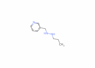 CCCNNCc1cccnc1